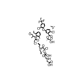 C=CCN(CC=C)C(=O)C(Cl)Cl.CCc1cccc(C)c1N(C(=O)CCl)C(C)COC.C[C@H](OC(=O)c1cc(Oc2ccc(C(F)(F)F)cc2Cl)ccc1Cl)C(=O)O.C[S+](C)C.O=C(O)CNCP(=O)([O-])O